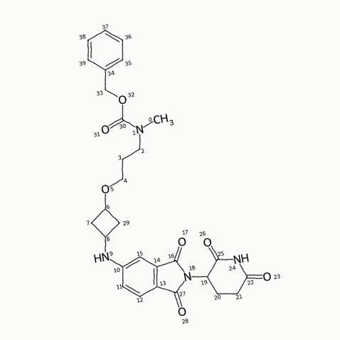 CN(CCCOC1CC(Nc2ccc3c(c2)C(=O)N(C2CCC(=O)NC2=O)C3=O)C1)C(=O)OCc1ccccc1